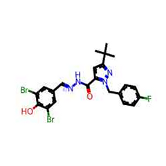 CC(C)(C)c1cc(C(=O)N/N=C/c2cc(Br)c(O)c(Br)c2)n(Cc2ccc(F)cc2)n1